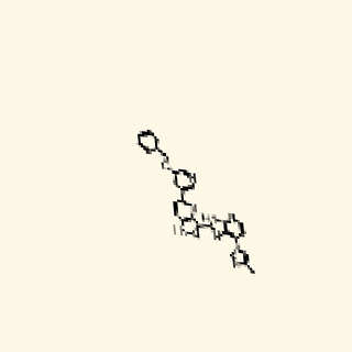 Cc1cn(-c2ccnc3[nH]c(-c4n[nH]c5ccc(-c6cncc(OCc7ccccc7)c6)nc45)nc23)cn1